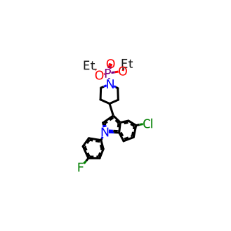 CCOP(=O)(OCC)N1CCC(c2cn(-c3ccc(F)cc3)c3ccc(Cl)cc23)CC1